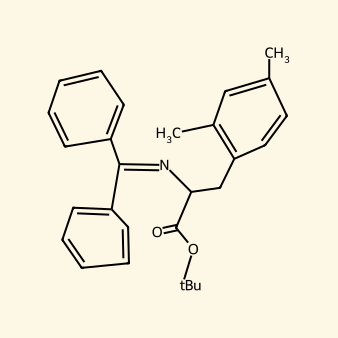 Cc1ccc(CC(N=C(c2ccccc2)c2ccccc2)C(=O)OC(C)(C)C)c(C)c1